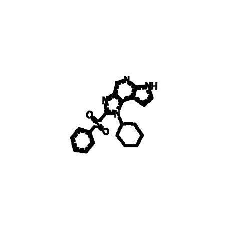 O=S(=O)(c1ccccc1)c1nc2cnc3[nH]ccc3c2n1C1CCCCC1